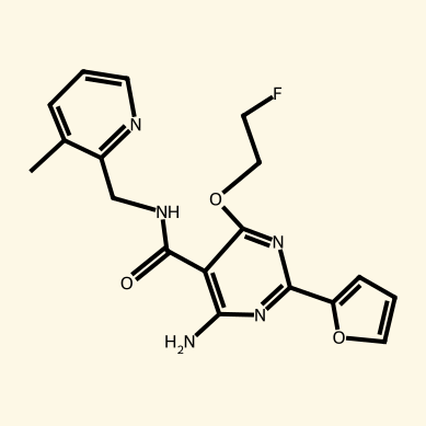 Cc1cccnc1CNC(=O)c1c(N)nc(-c2ccco2)nc1OCCF